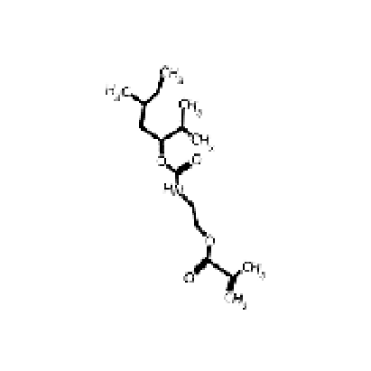 C=C(C)C(=O)OCCNC(=O)OC(CC(C)CC)C(C)C